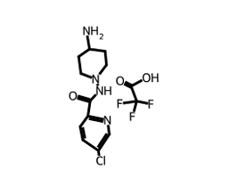 NC1CCN(NC(=O)c2ccc(Cl)cn2)CC1.O=C(O)C(F)(F)F